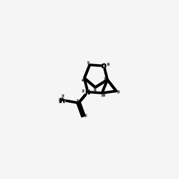 C=C(C(C)C)N1C2COC3(C2)CC13